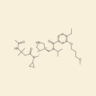 CCc1ccc(C(=O)N(C[C@@H]2CNC[C@H]2CN(C(=O)CC(C)(C)NC(C)=O)C2CC2)C(C)C)cc1OCCCOC